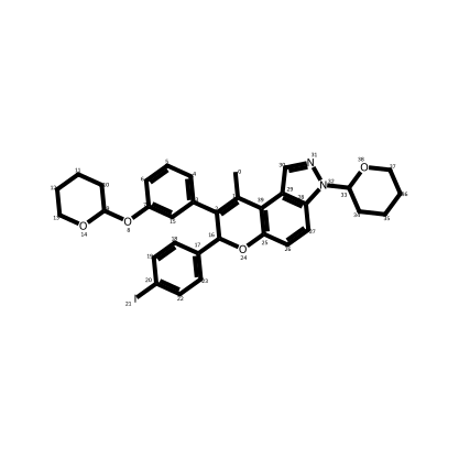 CC1=C(c2cccc(OC3CCCCO3)c2)C(c2ccc(I)cc2)Oc2ccc3c(cnn3C3CCCCO3)c21